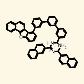 CC(/N=C(\NC(N)c1cccc(-c2cccc(-c3cccc(-c4cccc5oc6c7ccccc7ccc6c45)c3)c2)c1)c1ccc2ccccc2c1)c1ccc2ccccc2c1